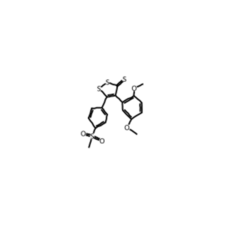 COc1ccc(OC)c(-c2c(-c3ccc(S(C)(=O)=O)cc3)ssc2=S)c1